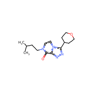 CC(C)CCn1ccn2c(C3CCOCC3)nnc2c1=O